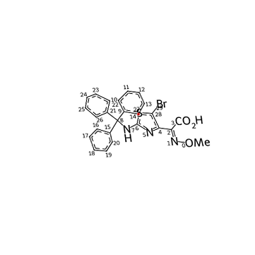 CO/N=C(\C(=O)O)c1nc(NC(c2ccccc2)(c2ccccc2)c2ccccc2)sc1Br